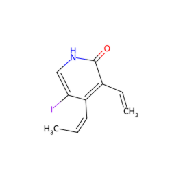 C=Cc1c(/C=C\C)c(I)c[nH]c1=O